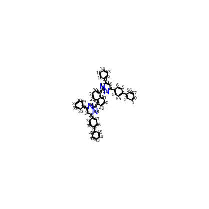 c1ccc(-c2ccc(-c3cc(-c4ccccc4)nc(-c4cccc5c(-c6nc(-c7ccccc7)cc(-c7ccc(-c8ccccc8)cc7)n6)cccc45)n3)cc2)cc1